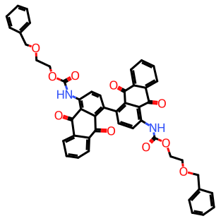 O=C(Nc1ccc(-c2ccc(NC(=O)OCCOCc3ccccc3)c3c2C(=O)c2ccccc2C3=O)c2c1C(=O)c1ccccc1C2=O)OCCOCc1ccccc1